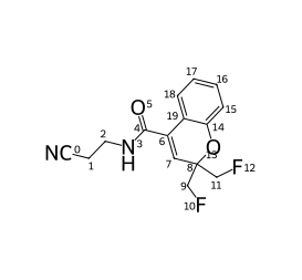 N#CCCNC(=O)C1=CC(CF)(CF)Oc2ccccc21